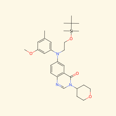 COc1cc(C)cc(N(CCO[Si](C)(C)C(C)(C)C)c2ccc3ncn(C4CCOCC4)c(=O)c3c2)c1